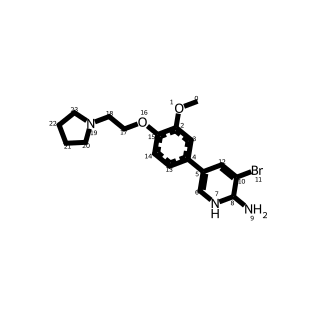 COc1cc(C2=CNC(N)C(Br)=C2)ccc1OCCN1CCCC1